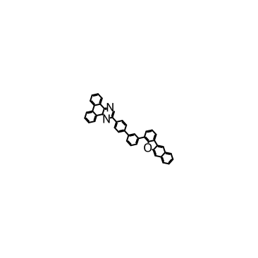 c1cc(-c2ccc(-c3cnc4c5ccccc5c5ccccc5c4n3)cc2)cc(-c2cccc3c2oc2cc4ccccc4cc23)c1